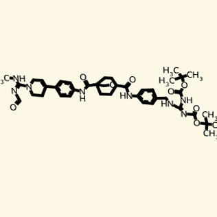 CN/C(=N/C=O)N1CC=C(c2ccc(NC(=O)C34CCC(C(=O)Nc5ccc(CN/C(=N/C(=O)OC(C)(C)C)NC(=O)OC(C)(C)C)cc5)(CC3)CC4)cc2)CC1